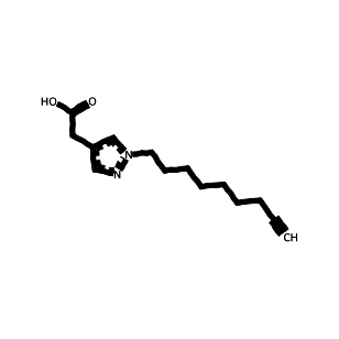 C#CCCCCCCCn1cc(CC(=O)O)cn1